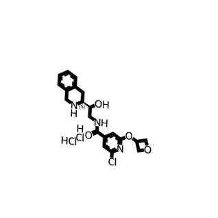 Cl.Cl.O=C(NCC(O)[C@@H]1Cc2ccccc2CN1)c1cc(Cl)nc(OC2COC2)c1